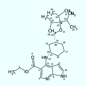 CCOC(=O)c1cnc2[nH]ccc2c1N[C@H]1CCC[C@@H](CO[Si](C(C)C)(C(C)C)C(C)C)C1